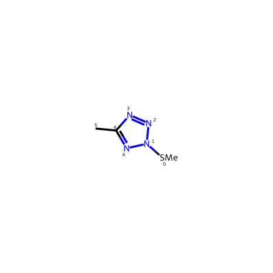 [CH2]Sn1nnc(C)n1